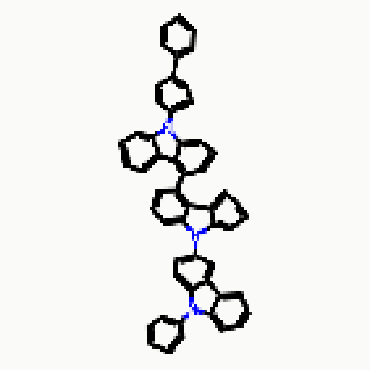 c1ccc(-c2ccc(-n3c4ccccc4c4c(-c5cccc6c5c5ccccc5n6-c5ccc6c(c5)c5ccccc5n6-c5ccccc5)cccc43)cc2)cc1